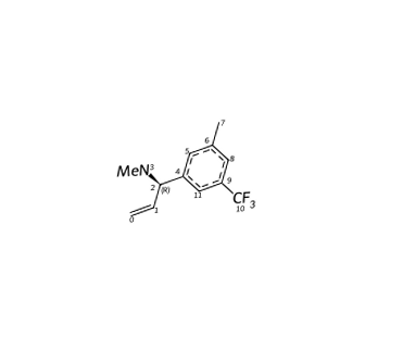 C=C[C@@H](NC)c1cc(C)cc(C(F)(F)F)c1